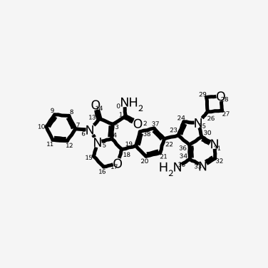 NC(=O)c1c2n(n(-c3ccccc3)c1=O)CCOC2c1ccc(-c2cn(C3COC3)c3ncnc(N)c23)cc1